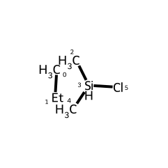 CCC.C[SiH](C)Cl